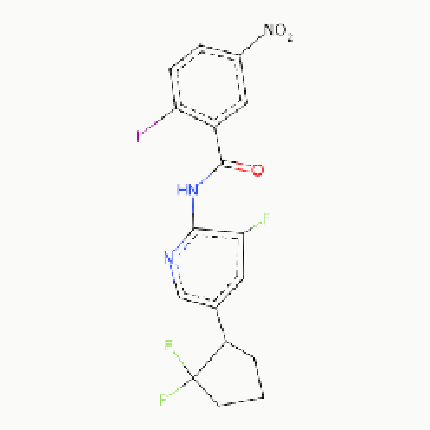 O=C(Nc1ncc(C2CCCC2(F)F)cc1F)c1cc([N+](=O)[O-])ccc1I